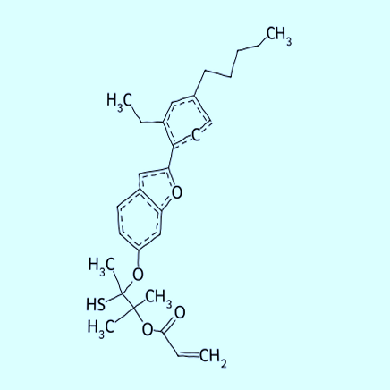 C=CC(=O)OC(C)(C)C(C)(S)Oc1ccc2cc(-c3ccc(CCCCC)cc3CC)oc2c1